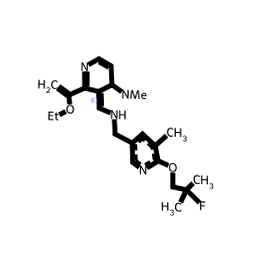 C=C(OCC)C1=NC=CC(NC)/C1=C\NCc1cnc(OCC(C)(C)F)c(C)c1